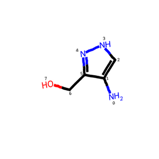 Nc1c[nH]nc1CO